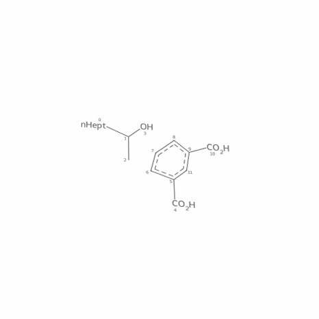 CCCCCCCC(C)O.O=C(O)c1cccc(C(=O)O)c1